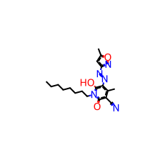 CCCCCCCCn1c(O)c(/N=N/c2cc(C)on2)c(C)c(C#N)c1=O